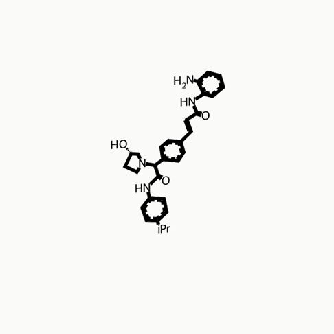 CC(C)c1ccc(NC(=O)C(c2ccc(/C=C/C(=O)Nc3ccccc3N)cc2)N2CC[C@H](O)C2)cc1